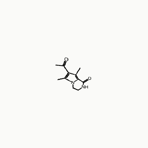 CC(=O)c1c(C)c2n(c1C)CCNC2=O